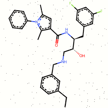 CCc1cccc(CNC[C@@H](O)[C@H](Cc2cc(F)cc(F)c2)NC(=O)c2cc(C)n(-c3ccccc3)c2C)c1